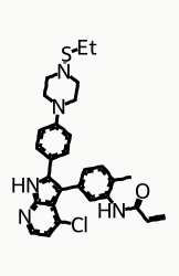 C=CC(=O)Nc1cc(-c2c(-c3ccc(N4CCN(SCC)CC4)cc3)[nH]c3nccc(Cl)c23)ccc1C